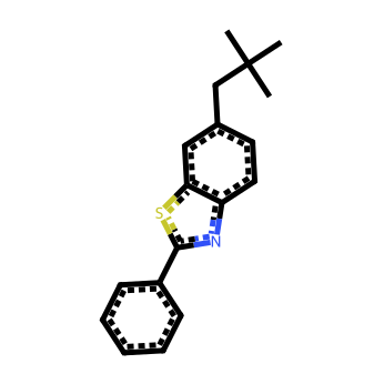 CC(C)(C)Cc1ccc2nc(-c3ccccc3)sc2c1